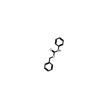 O=C(Nc1cc[c]cc1)OCc1ccccc1